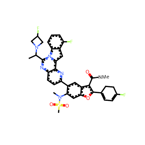 CNC(=O)c1c(C2=CC=C(F)CC2)oc2cc(N(C)S(C)(=O)=O)c(-c3ccc4nc(C(C)N5CC(F)C5)n5c6cccc(F)c6cc5c4n3)cc12